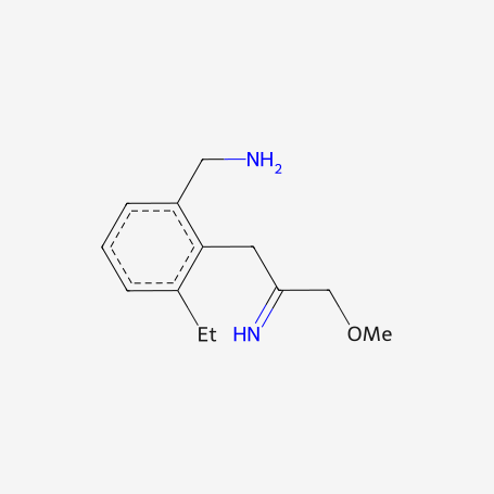 CCc1cccc(CN)c1CC(=N)COC